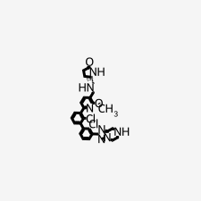 COc1nc(-c2cccc(-c3cccc(-c4nc5n(n4)CCNC5)c3Cl)c2Cl)ccc1CNC[C@@H]1CCC(=O)N1